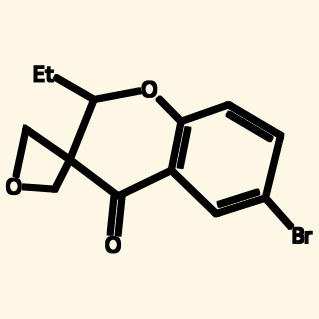 CCC1Oc2ccc(Br)cc2C(=O)C12COC2